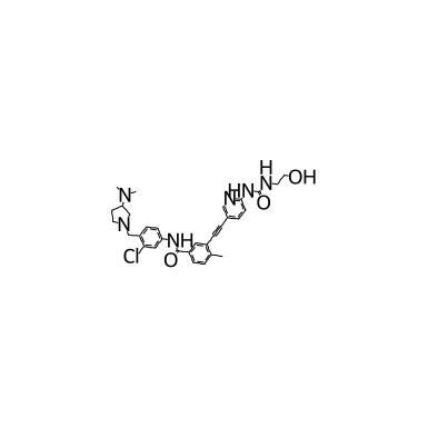 Cc1ccc(C(=O)Nc2ccc(CN3CC[C@@H](N(C)C)C3)c(Cl)c2)cc1C#Cc1ccc(NC(=O)NCCO)nc1